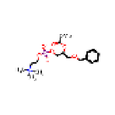 COC(=O)OC(COCc1ccccc1)COP(=O)([O-])OCC[N+](C)(C)C